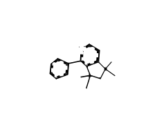 CC1(C)CC(C)(C)c2c1ccnc2-c1ccccc1